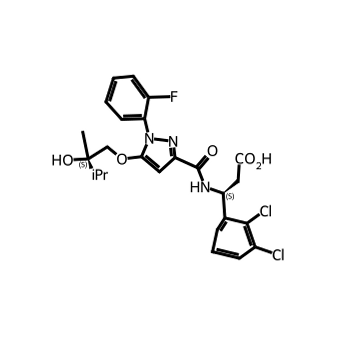 CC(C)[C@](C)(O)COc1cc(C(=O)N[C@@H](CC(=O)O)c2cccc(Cl)c2Cl)nn1-c1ccccc1F